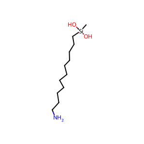 C[Si](O)(O)CCCCCCCCCCCN